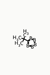 CC(C)(C)c1bbbbb1